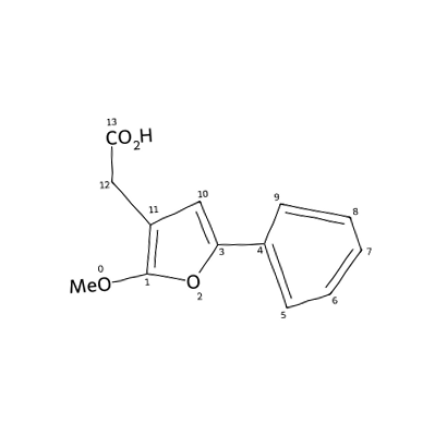 COc1oc(-c2ccccc2)cc1CC(=O)O